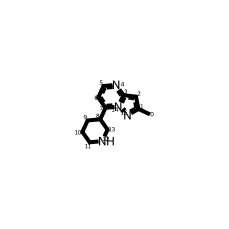 Cc1cc2nccc(C3CCCNC3)n2n1